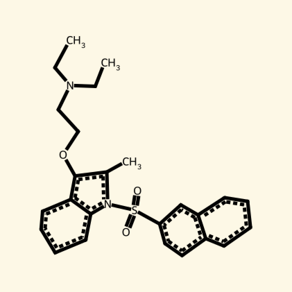 CCN(CC)CCOc1c(C)n(S(=O)(=O)c2ccc3ccccc3c2)c2ccccc12